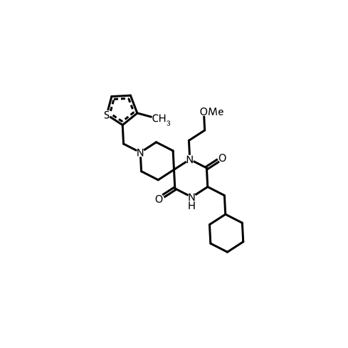 COCCN1C(=O)C(CC2CCCCC2)NC(=O)C12CCN(Cc1sccc1C)CC2